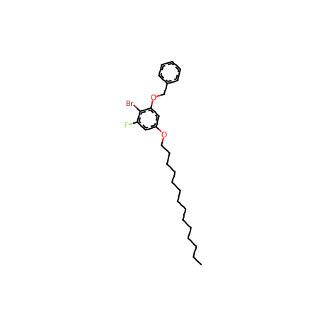 CCCCCCCCCCCCCCOc1cc(F)c(Br)c(OCc2ccccc2)c1